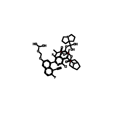 C#Cc1c(F)ccc2cc(OCOP(O)O)cc(-c3nc(Cl)c4c(N5CC6CCC(C5)N6C(=O)OC(C)OC(=O)C(C)C)nc(OC(O)(O)C56CCCN5CCC6)nc4c3F)c12